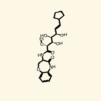 CCO[C@@H](C(=O)NC1COc2ccccc2NC1=O)[C@H](O)[C@@H](O)[C@H](O)/C=C/C1CCCC1